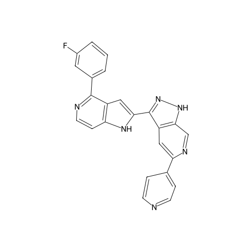 Fc1cccc(-c2nccc3[nH]c(-c4n[nH]c5cnc(-c6ccncc6)cc45)cc23)c1